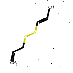 C=CCSS/C=C/C